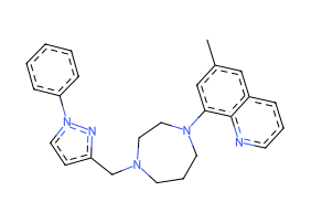 Cc1cc(N2CCCN(Cc3ccn(-c4ccccc4)n3)CC2)c2ncccc2c1